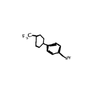 CC(C)c1ccc(C2CCC(C(F)(F)F)CC2)cc1